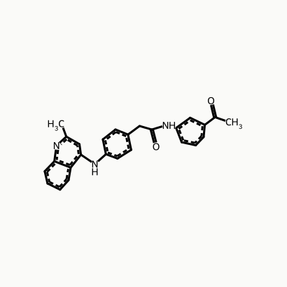 CC(=O)c1cccc(NC(=O)Cc2ccc(Nc3cc(C)nc4ccccc34)cc2)c1